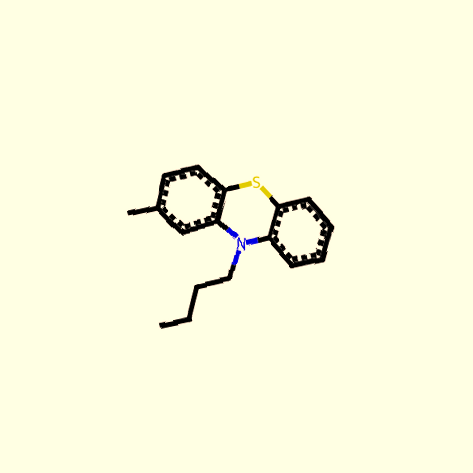 CCCCN1c2ccccc2Sc2ccc(C)cc21